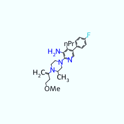 C=C(CCOC)N1CCN(c2ncc(-c3ccc(F)cc3)c(CCC)c2N)CC1C